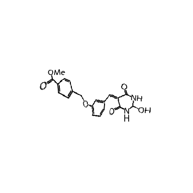 COC(=O)c1ccc(COc2cccc(C=C3C(=O)NC(O)NC3=O)c2)cc1